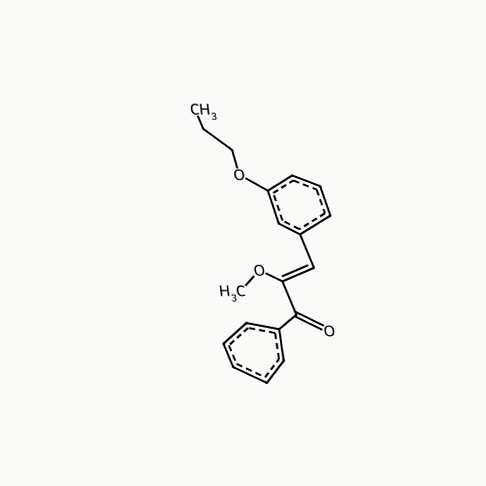 CCCOc1cccc(C=C(OC)C(=O)c2ccccc2)c1